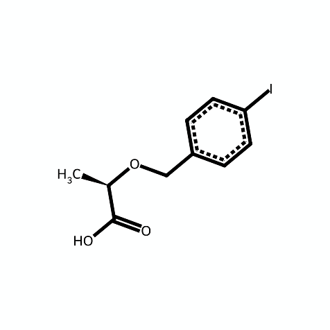 C[C@@H](OCc1ccc(I)cc1)C(=O)O